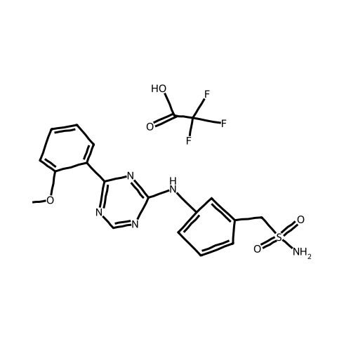 COc1ccccc1-c1ncnc(Nc2cccc(CS(N)(=O)=O)c2)n1.O=C(O)C(F)(F)F